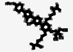 C=C(C)C(=O)OCCCc1cc(-c2ccc(-c3ccc(C4CCC(CCCCC)CC4)cc3F)c(CC)c2)c(CCCOC(=O)C(=C)C)cc1OCC(CC#N)(CC#N)CC#N